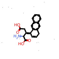 N[C@H](C(=O)O)/C(CC(=O)O)=C1\C=CCc2cc3ccccc3cc21